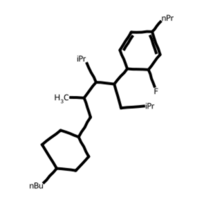 CCCCC1CCC(CC(C)C(C(C)C)C(CC(C)C)C2C=CC(CCC)=CC2F)CC1